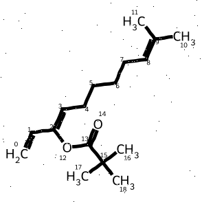 C=CC(=CCCCCC=C(C)C)OC(=O)C(C)(C)C